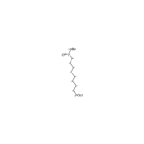 CCCCCCCCCCCCCCCCC(Cl)CCCC